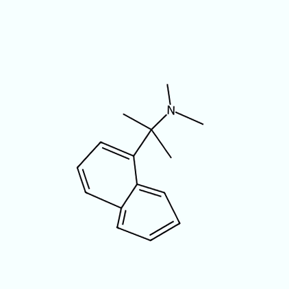 CN(C)C(C)(C)c1cccc2ccccc12